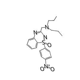 CCCN(CCC)CC1=Nc2ccccc2S(=O)(c2ccc([N+](=O)[O-])cc2)=N1